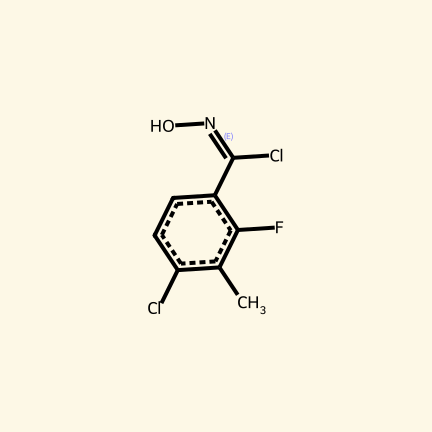 Cc1c(Cl)ccc(/C(Cl)=N\O)c1F